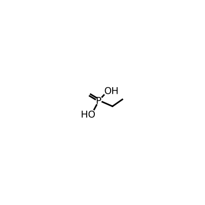 C=P(O)(O)CC